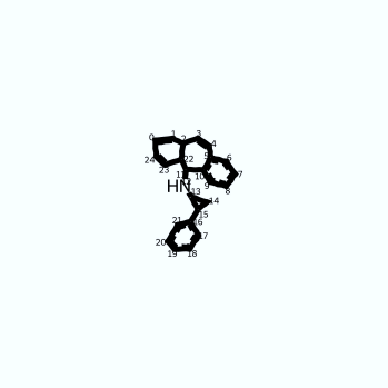 C1=CC2C=Cc3ccccc3C(NC3CC3c3ccccc3)C2C=C1